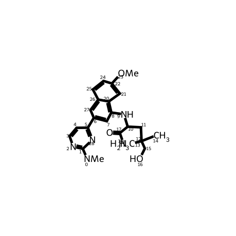 CNc1nccc(-c2cc(NC(CC(C)(C)CO)C(N)=O)c3cc(OC)ccc3c2)n1